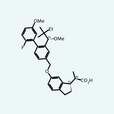 CCC(C)(C)[C@H](OC)c1cc(COc2ccc3c(c2)[C@H]([C@@H](C)C(=O)O)CC3)ccc1-c1cc(OC)ccc1F